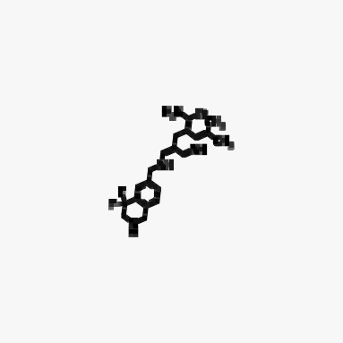 CC/C(N)=C(\C=C(C)C)C/C(C=N)=C/NCc1ccc2c(c1)C(F)(F)CNC2